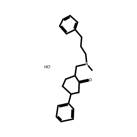 CN(CCCc1ccccc1)CC1CCC(c2ccccc2)CC1=O.Cl